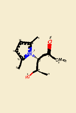 COC(=O)[C@H]([C@@H](C)O)n1c(C)ccc1C